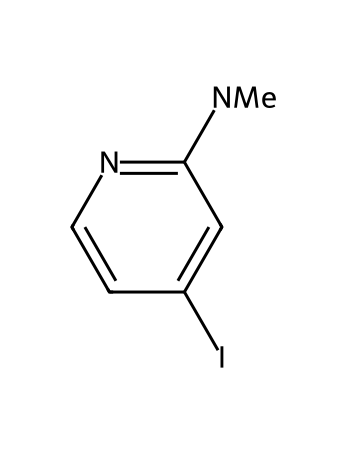 CNc1cc(I)ccn1